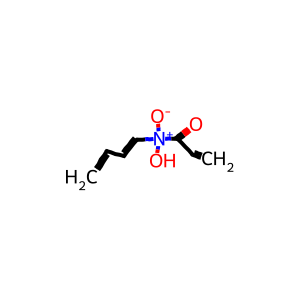 C=CC=C[N+]([O-])(O)C(=O)C=C